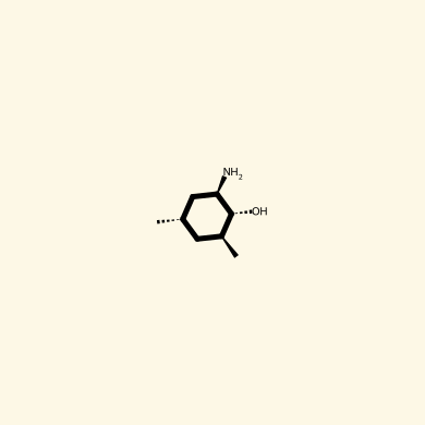 C[C@@H]1C[C@@H](N)[C@H](O)[C@@H](C)C1